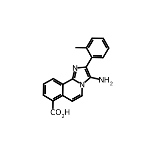 Cc1ccccc1-c1nc2c3cccc(C(=O)O)c3ccn2c1N